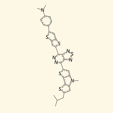 CC(C)Cc1cc2c(s1)c1sc(-c3nnc(-c4cc5sc(-c6ccc(N(C)C)cc6)cc5s4)c4nsnc34)cc1n2C